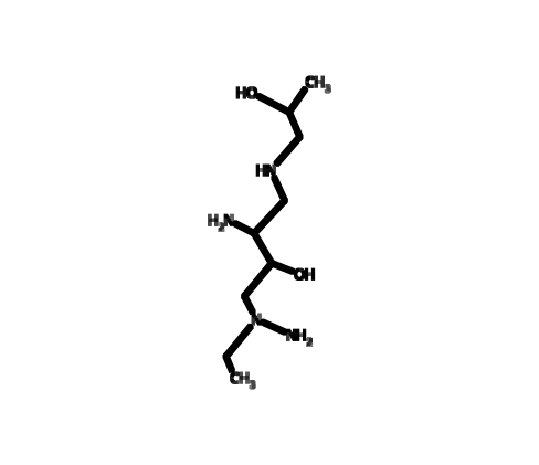 CCN(N)CC(O)C(N)CNCC(C)O